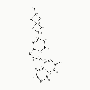 Cc1cc(-c2cnn3cc(N4CC5(CC(C)C5)C4)cnc23)c2ccccc2n1